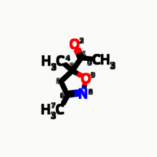 CC(=O)C1(C)CC(C)=NO1